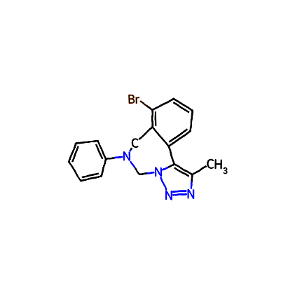 Cc1nnn2c1-c1cccc(Br)c1CN(c1ccccc1)C2